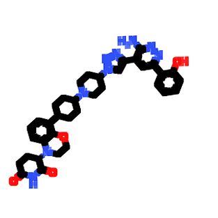 Nc1nnc(-c2ccccc2O)cc1-c1cn(C2CCN(C3CCC(c4cccc5c4OCCN5[C@H]4CCC(=O)NC4=O)CC3)CC2)nn1